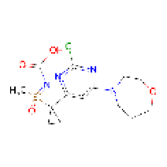 CS(=O)(=NC(=O)O)C1(c2cc(N3CCCOCC3)nc(Cl)n2)CC1